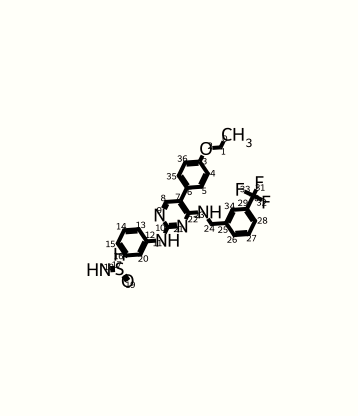 CCOc1ccc(-c2cnc(Nc3cccc([SH](=N)=O)c3)nc2NCc2cccc(C(F)(F)F)c2)cc1